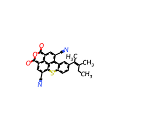 CC/C(C)=C(/C)c1ccc2sc3c(C#N)cc4c(=O)oc(=O)c5cc(C#N)c(c2c1)c3c45